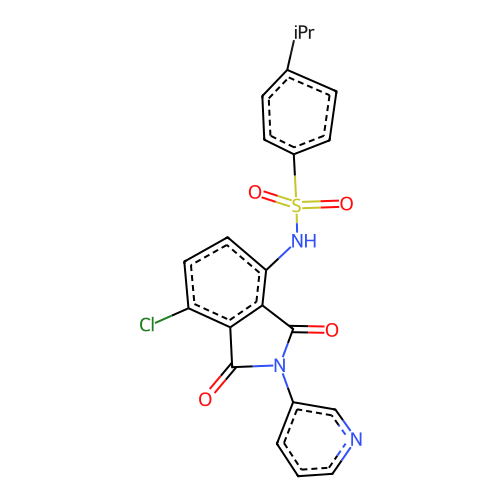 CC(C)c1ccc(S(=O)(=O)Nc2ccc(Cl)c3c2C(=O)N(c2cccnc2)C3=O)cc1